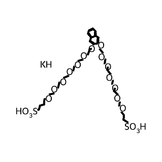 O=S(=O)(O)CCCCOCCOCCOCCOCCOCCOCCOc1cc2ccccc2cc1OCCOCCOCCOCCOCCOCCOCCCCS(=O)(=O)O.[KH]